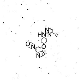 c1cc(C2CC2)nc(N[C@H]2CC[C@@H](Oc3cc(N4CCOCC4)cc4nccnc34)CC2)n1